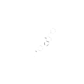 CC(C)(C)OC(=O)N1CCN(c2ccc3c(c2)C(=O)N(CC2CCCCC2)CC3)CC1